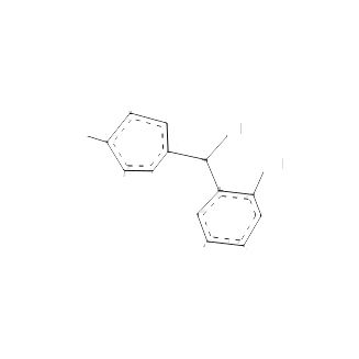 Cc1ccccc1C(Cl)c1ccc(F)cc1